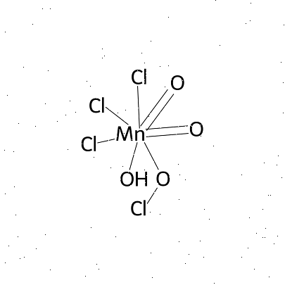 [O]=[Mn](=[O])([OH])([Cl])([Cl])([Cl])[O]Cl